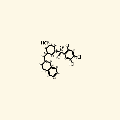 Cl.O=S(=O)(c1cc(Cl)c(Cl)cc1Cl)N1CCCC(CN2CCc3ccccc3C2)C1